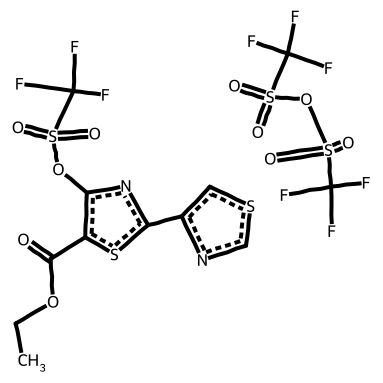 CCOC(=O)c1sc(-c2cscn2)nc1OS(=O)(=O)C(F)(F)F.O=S(=O)(OS(=O)(=O)C(F)(F)F)C(F)(F)F